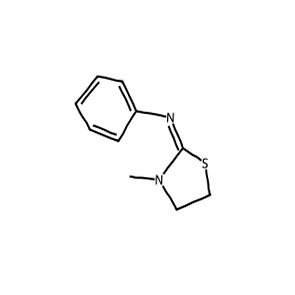 CN1CCSC1=Nc1ccccc1